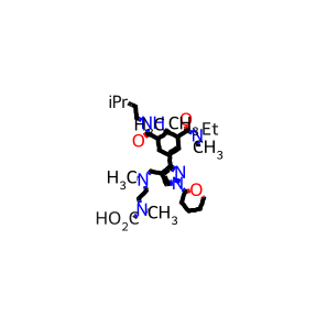 CCN(C)C(=O)C1C=C(c2nn(C3CCCCO3)cc2CN(C)CCN(C)C(=O)O)CC(C(=O)NCCC(C)C)C1(C)C